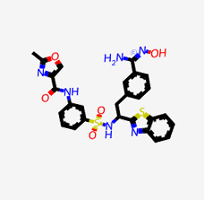 Cc1nc(C(=O)Nc2cccc(S(=O)(=O)NC(Cc3cccc(/C(N)=N\O)c3)c3nc4ccccc4s3)c2)co1